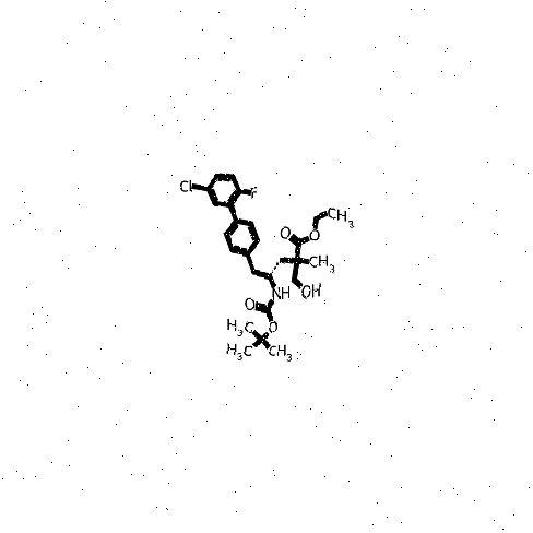 CCOC(=O)C(C)(CO)C[C@@H](Cc1ccc(-c2cc(Cl)ccc2F)cc1)NC(=O)OC(C)(C)C